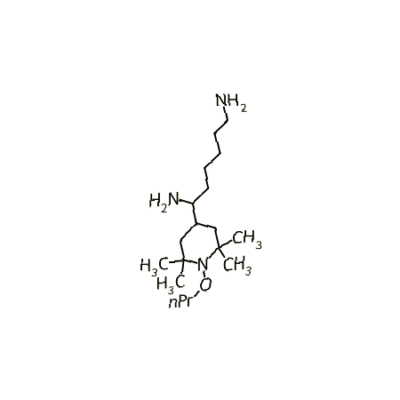 CCCON1C(C)(C)CC(C(N)CCCCCN)CC1(C)C